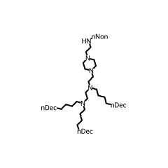 CCCCCCCCCCCCCCN(CCCCCCCCCCCCCC)CCN(CCCCCCCCCCCCCC)CCN1CCN(CCNCCCCCCCCC)CC1